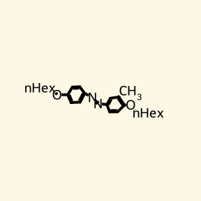 CCCCCCOc1ccc(N=Nc2ccc(OCCCCCC)c(C)c2)cc1